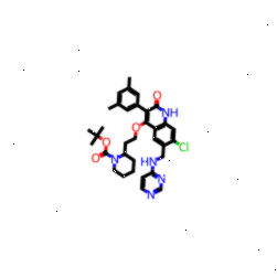 Cc1cc(C)cc(-c2c(OCCC3CCCCN3C(=O)OC(C)(C)C)c3cc(CNc4ccncn4)c(Cl)cc3[nH]c2=O)c1